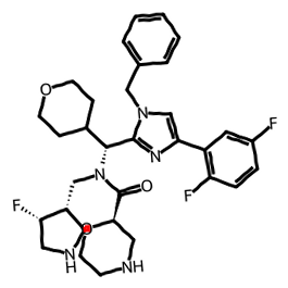 O=C([C@H]1CNCCO1)N(C[C@@H]1CNC[C@@H]1F)[C@@H](c1nc(-c2cc(F)ccc2F)cn1Cc1ccccc1)C1CCOCC1